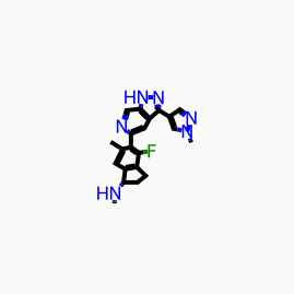 CNC1CCc2c1cc(C)c(-c1cc3c(-c4cnn(C)c4)n[nH]c3cn1)c2F